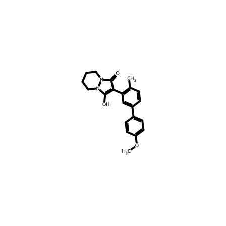 COc1ccc(-c2ccc(C)c(-c3c(O)n4n(c3=O)CCCC4)c2)cc1